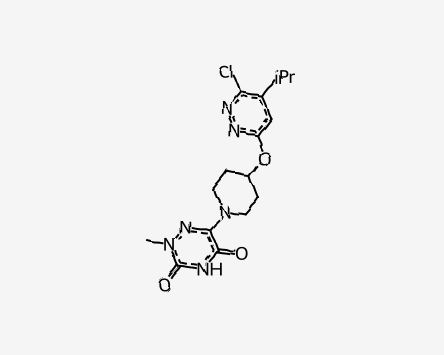 CC(C)c1cc(OC2CCN(c3nn(C)c(=O)[nH]c3=O)CC2)nnc1Cl